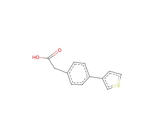 O=C(O)Cc1ccc(-c2ccsc2)cc1